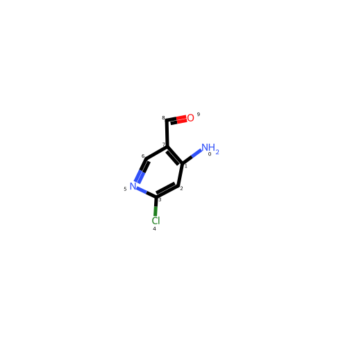 Nc1cc(Cl)ncc1C=O